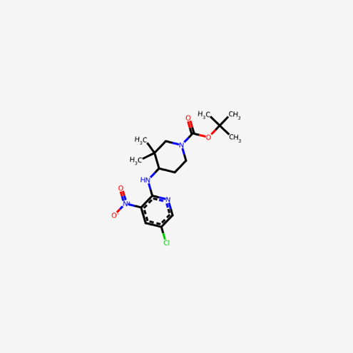 CC(C)(C)OC(=O)N1CCC(Nc2ncc(Cl)cc2[N+](=O)[O-])C(C)(C)C1